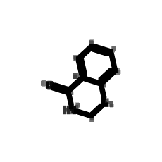 O=C1NC[N]c2ccccc21